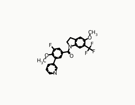 COc1cc2c(cc1C(F)(F)F)N(C(=O)c1cc(F)c(OC)c(-c3cccnc3)c1)CC2